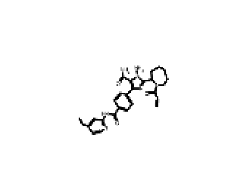 C=CC(=O)N1CCCCCC1c1nc(-c2ccc(C(=O)Nc3cc(CC)ccn3)cc2)c(C(N)=O)n1N